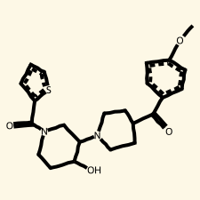 COc1ccc(C(=O)C2CCN(C3CN(C(=O)c4cccs4)CCC3O)CC2)cc1